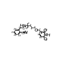 CC(C)(CCCOCn1ccc(=O)[nH]c1=O)NCCc1ccccc1C#N